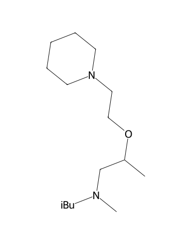 CCC(C)N(C)CC(C)OCCN1CCCCC1